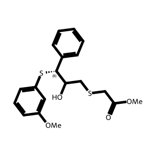 COC(=O)CSCC(O)[C@H](Sc1cccc(OC)c1)c1ccccc1